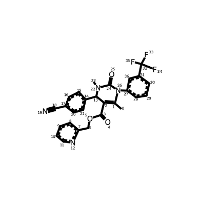 CC1=C(C(=O)OCc2ccccn2)C(c2ccc(C#N)cc2)N(C)C(=O)N1c1cccc(C(F)(F)F)c1